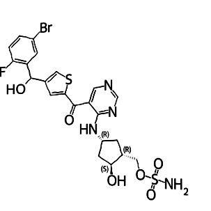 NS(=O)(=O)OC[C@H]1C[C@@H](Nc2ncncc2C(=O)c2cc(C(O)c3cc(Br)ccc3F)cs2)C[C@@H]1O